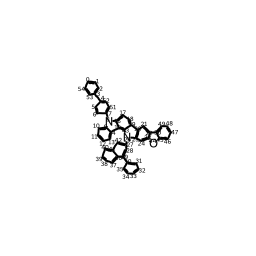 c1ccc(-c2ccc(-n3c4ccccc4c4c3ccc3c5cc6c(cc5n(-c5cc(-c7ccccc7)c7ccccc7c5)c34)oc3ccccc36)cc2)cc1